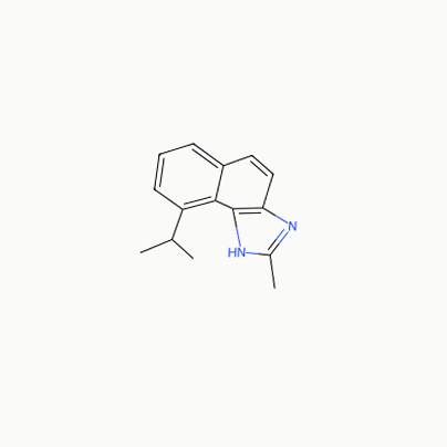 Cc1nc2ccc3cccc(C(C)C)c3c2[nH]1